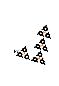 Cc1ccc(P(c2ccc(C)cc2C)c2ccc(C)cc2C)c(C)c1.Cc1ccc(P(c2ccc(C)cc2C)c2ccc(C)cc2C)c(C)c1.Cc1ccc(P(c2ccc(C)cc2C)c2ccc(C)cc2C)c(C)c1.Cc1ccc(P(c2ccc(C)cc2C)c2ccc(C)cc2C)c(C)c1.[Pd]